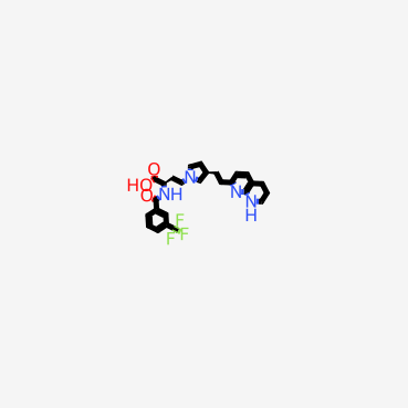 O=C(N[C@H](CCN1CC[C@@H](CCc2ccc3c(n2)NCCC3)C1)C(=O)O)c1cccc(C(F)(F)F)c1